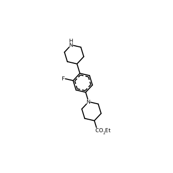 CCOC(=O)C1CCN(c2ccc(C3CCNCC3)c(F)c2)CC1